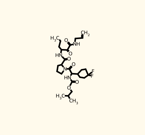 C=CCNC(=O)C(=O)C(CCC)NC(=O)C1CCCN1C(=O)C(NC(=O)OCC(C)C)C1CCC(F)(F)CC1